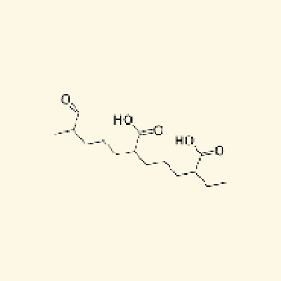 CCC(CCCC(CCCC(C)C=O)C(=O)O)C(=O)O